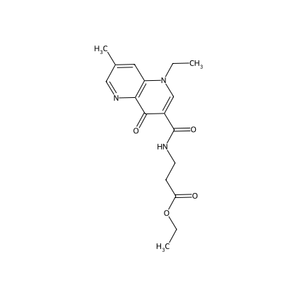 CCOC(=O)CCNC(=O)c1cn(CC)c2cc(C)cnc2c1=O